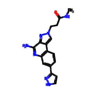 CNC(=O)CCn1cc2c(n1)c(N)nc1cc(-c3cc[nH]n3)ccc12